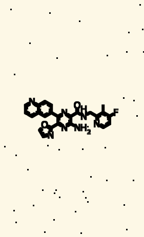 Cc1c(F)ccnc1CNC(=O)c1nc(-c2ccc3ncccc3c2)c(-c2ncco2)nc1N